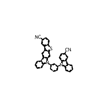 N#Cc1ccc2sc3cc4c(cc3c2c1)c1ccccc1n4-c1cccc(-n2c3ccccc3c3cc(C#N)ccc32)c1